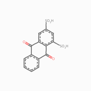 O=C1c2ccccc2C(=O)c2c1cc(S(=O)(=O)O)cc2S(=O)(=O)O